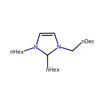 CCCCCCCCCCCN1C=CN(CCCCCC)C1CCCCCC